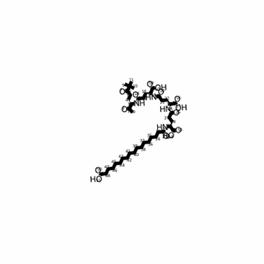 CC(=O)[C@H](CCC(=O)C(C)(C)C)NC(=O)CC[C@H](NC(=O)CC[C@H](NC(=O)CC[C@H](NC(=O)CCCCCCCCCCCCCCCCC(=O)O)C(=O)O)C(=O)O)C(=O)O